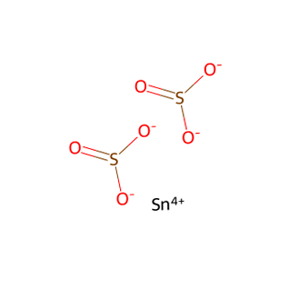 O=S([O-])[O-].O=S([O-])[O-].[Sn+4]